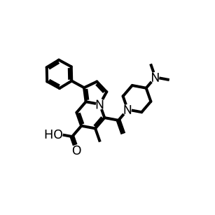 C=C(c1c(C)c(C(=O)O)cc2c(-c3ccccc3)ccn12)N1CCC(N(C)C)CC1